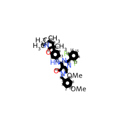 COc1ccc(CN2Cc3nc(-c4c(F)cccc4F)nc(Nc4ccc(C5(C)CC(C)(C)N(C)C5=O)cc4)c3C2=O)c(OC)c1